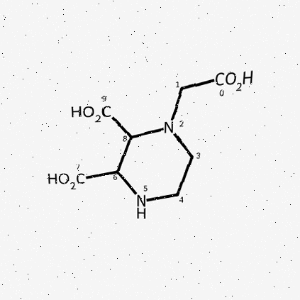 O=C(O)CN1CCNC(C(=O)O)C1C(=O)O